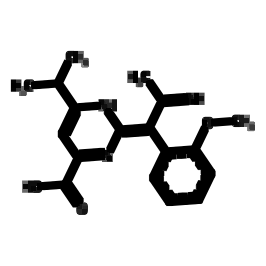 COc1ccccc1/C(C(C)=N)=C1\N=C(C(=O)O)C=C(C(C)C)N1